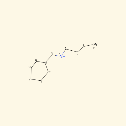 CC(C)CCCNCC1CCCCC1